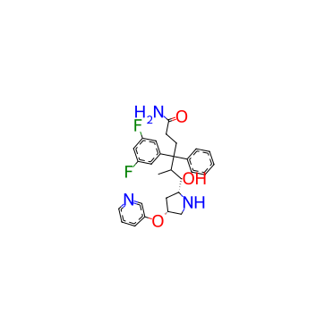 CC(C(O)[C@H]1C[C@@H](Oc2cccnc2)CN1)C(CCC(N)=O)(c1ccccc1)c1cc(F)cc(F)c1